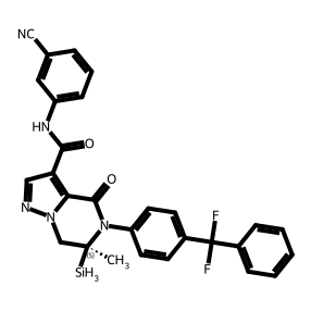 C[C@]1([SiH3])Cn2ncc(C(=O)Nc3cccc(C#N)c3)c2C(=O)N1c1ccc(C(F)(F)c2ccccc2)cc1